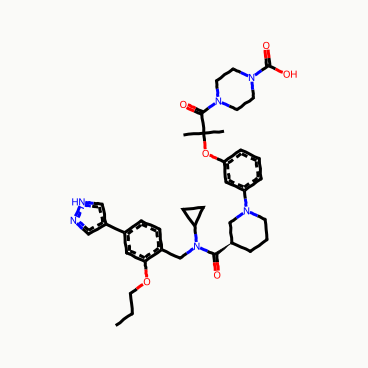 CCCOc1cc(-c2cn[nH]c2)ccc1CN(C(=O)[C@@H]1CCCN(c2cccc(OC(C)(C)C(=O)N3CCN(C(=O)O)CC3)c2)C1)C1CC1